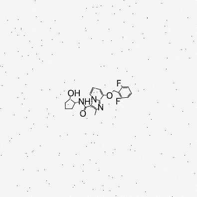 Cc1nc2c(OCc3c(F)cccc3F)cccn2c1C(=O)NC1CCCC1O